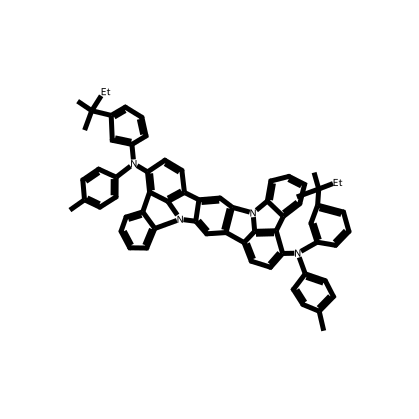 CCC(C)(C)c1cccc(N(c2ccc(C)cc2)c2ccc3c4cc5c(cc4n4c6ccccc6c2c34)c2ccc(N(c3ccc(C)cc3)c3cccc(C(C)(C)CC)c3)c3c4ccccc4n5c23)c1